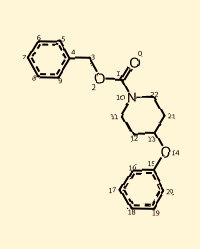 O=C(OCc1ccccc1)N1CCC(Oc2cc[c]cc2)CC1